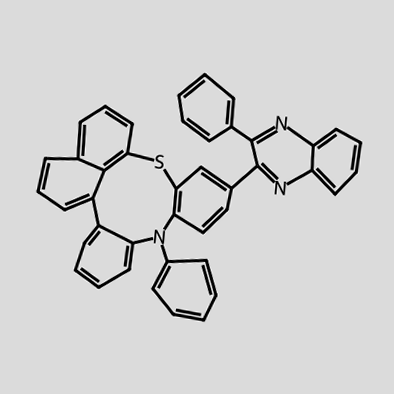 c1ccc(-c2nc3ccccc3nc2-c2ccc3c(c2)Sc2cccc4cccc(c24)-c2ccccc2N3c2ccccc2)cc1